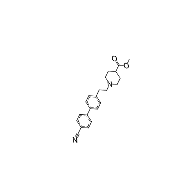 COC(=O)C1CCN(CCc2ccc(-c3ccc(C#N)cc3)cc2)CC1